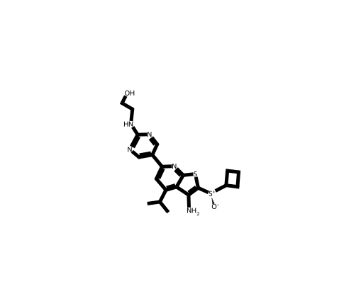 CC(C)c1cc(-c2cnc(NCCO)nc2)nc2sc([S@@+]([O-])C3CCC3)c(N)c12